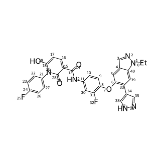 CCn1ncc2cc(Oc3ccc(NC(=O)c4ccc(O)n(-c5ccc(F)cc5)c4=O)cc3F)c(-c3cn[nH]c3)cc21